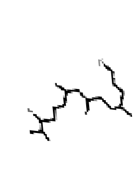 CC(CCCF)CCC(F)CC(C)CCCC(F)C(C)C